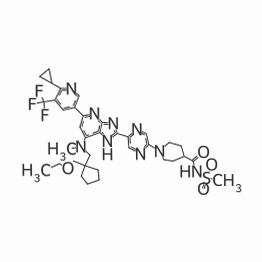 CCOCC1(CN(C)c2cc(-c3cnc(C4CC4)c(C(F)(F)F)c3)nc3nc(-c4cnc(N5CCC(C(=O)NS(C)(=O)=O)CC5)cn4)[nH]c23)CCCC1